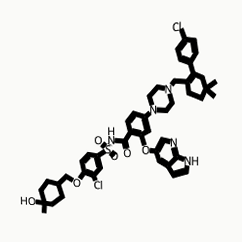 CC1(C)CCC(CN2CCN(c3ccc(C(=O)NS(=O)(=O)c4ccc(OCC5CCC(C)(O)CC5)c(Cl)c4)c(Oc4cnc5[nH]ccc5c4)c3)CC2)=C(c2ccc(Cl)cc2)C1